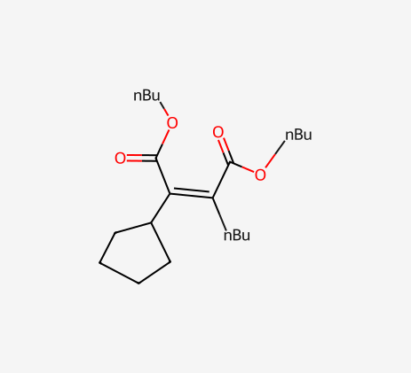 CCCCOC(=O)/C(CCCC)=C(\C(=O)OCCCC)C1CCCC1